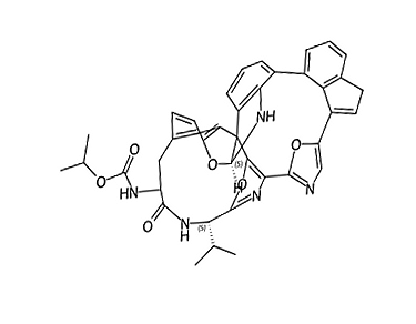 CC(C)OC(=O)NC1Cc2ccc3c(c2)C24c5cccc(c5N[C@H]2O3)-c2cccc3c2C(=CC3)c2cnc(o2)-c2nc(oc24)[C@H](C(C)C)NC1=O